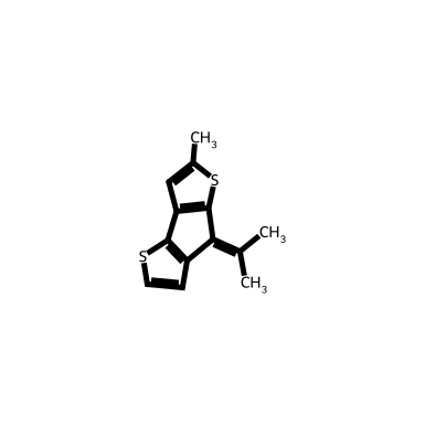 CC(C)=C1c2ccsc2-c2cc(C)sc21